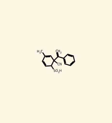 C=C(c1ccccc1)C1(C#N)C=C(C)C=CC1S(=O)(=O)O